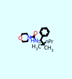 CCCC(C)(C)[C@H](NC(=O)N1CCOCC1)c1ccccc1